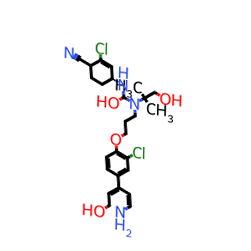 CC(C)(CO)N(CCCOc1ccc(C(/C=C\N)=C/CO)cc1Cl)C(O)N[C@@H]1C=C(Cl)C(C#N)CC1